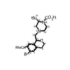 COc1cc2c(cc1Br)CCOC2CN1CCN(C(=O)O)C(C(C)(C)C)C1